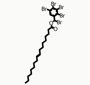 CCCCCCCCC=CCCCCCCCC(=O)OC(Br)c1cc(Br)c(Br)c(Br)c1Br